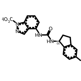 CC(C)(C)c1ccc2c(c1)CC[C@@H]2NC(=O)Nc1cccc2c1cnn2C(=O)O